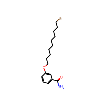 NC(=O)c1cccc(OCCCCCCCCCCBr)c1